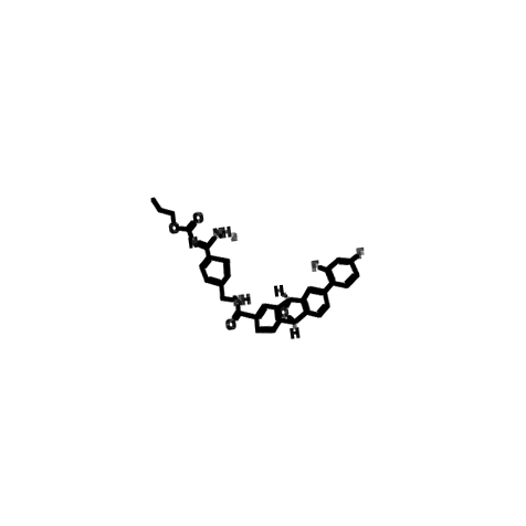 CCCOC(=O)N=C(N)c1ccc(CNC(=O)c2ccc3c(c2)[C@@H]2O[C@H]3c3ccc(-c4ccc(F)cc4F)cc32)cc1